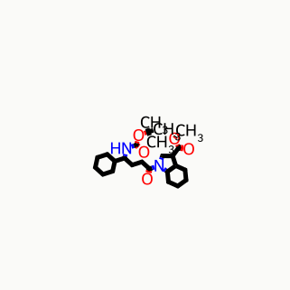 COC(=O)C1CN(C(=O)CCC(NC(=O)OC(C)(C)C)C2CCCCC2)C2CCCCC12